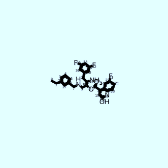 CCc1cccc(CNCC(OC(=O)c2cc(O)nc3ccc(F)cc23)C(N)Cc2cc(F)cc(F)c2)c1